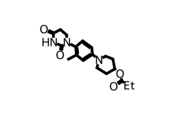 CCC(=O)OC1CCN(c2ccc(N3CCC(=O)NC3=O)c(C)c2)CC1